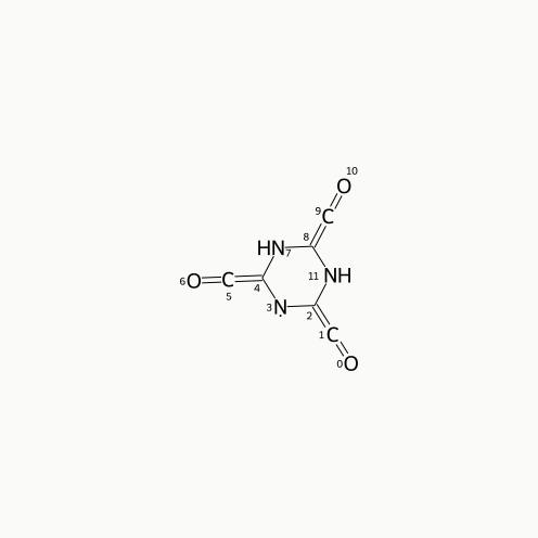 O=C=C1[N]C(=C=O)NC(=C=O)N1